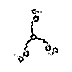 CN1CCC[C@H]1c1ccc[n+](CCCC#Cc2cc(C#CCCC[n+]3cccc([C@@H]4CCCN4C)c3)cc(C#CCCC[n+]3cccc([C@@H]4CCCN4C)c3)c2)c1